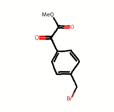 COC(=O)C(=O)c1ccc(CBr)cc1